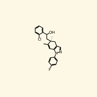 CC1=Cc2c(cnn2-c2ccc(F)cc2)C[C@]1(C)CC(O)c1ccccc1Cl